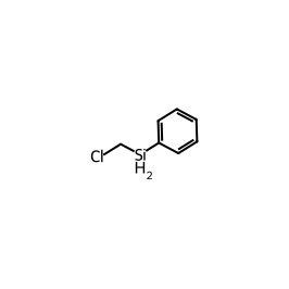 ClC[SiH2]c1ccccc1